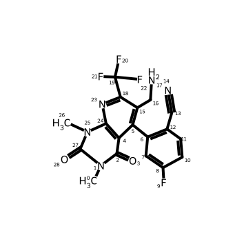 Cn1c(=O)c2c(-c3cc(F)ccc3C#N)c(CN)c(C(F)(F)F)nc2n(C)c1=O